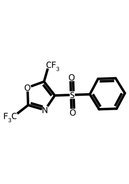 O=S(=O)(c1ccccc1)c1nc(C(F)(F)F)oc1C(F)(F)F